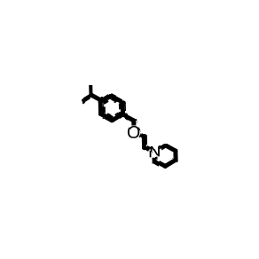 CC(C)c1ccc(COCCN2CCCCC2)cc1